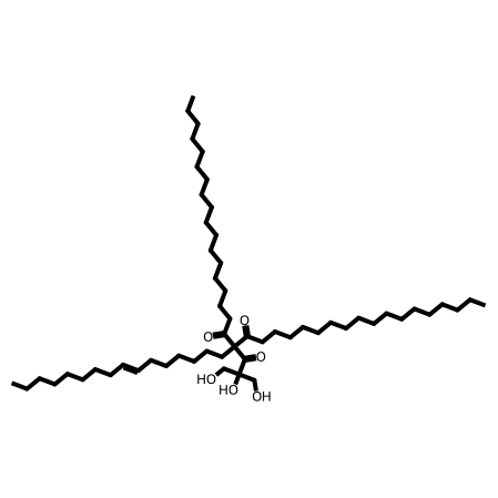 CCCCCCCCC=CCCCCCCC(C(=O)CCCCCCCCCCCCCCCCC)(C(=O)CCCCCCCCCCCCCCCCC)C(=O)C(O)(CO)CO